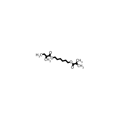 C=C(C)C(=O)OCCCCCCOC(=O)C(=C)CC